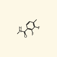 CNC(=O)c1ccc(C)c(F)c1F